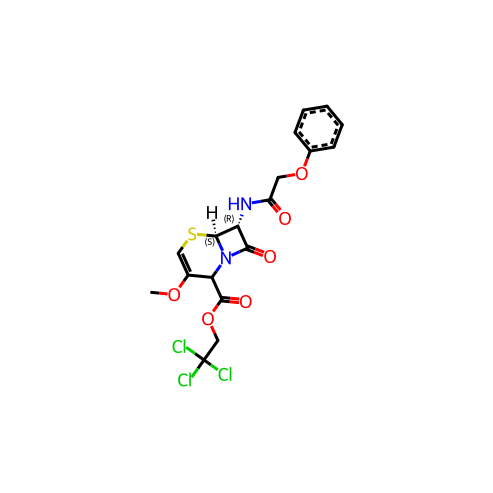 COC1=CS[C@H]2[C@H](NC(=O)COc3ccccc3)C(=O)N2C1C(=O)OCC(Cl)(Cl)Cl